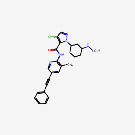 Cc1cc(C#Cc2ccccc2)cnc1NC(=O)c1c(Cl)cnn1C1CCCC(NC(=O)O)C1